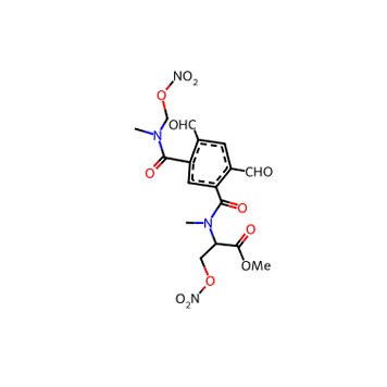 COC(=O)C(CO[N+](=O)[O-])N(C)C(=O)c1cc(C(=O)N(C)CO[N+](=O)[O-])c(C=O)cc1C=O